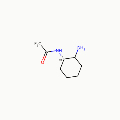 NC1CCCC[C@@H]1NC(=O)C(F)(F)F